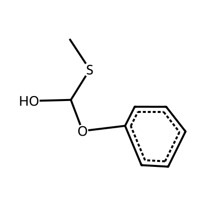 CSC(O)Oc1ccccc1